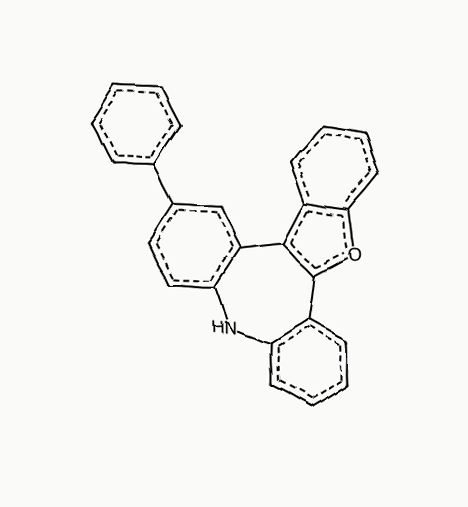 c1ccc(-c2ccc3c(c2)-c2c(oc4ccccc24)-c2ccccc2N3)cc1